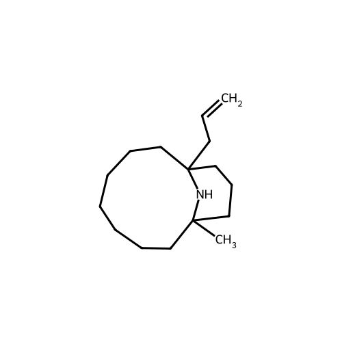 C=CCC12CCCCCCCC(C)(CCC1)N2